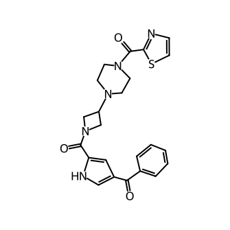 O=C(c1ccccc1)c1c[nH]c(C(=O)N2CC(N3CCN(C(=O)c4nccs4)CC3)C2)c1